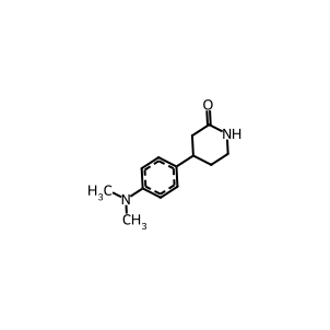 CN(C)c1ccc(C2CCNC(=O)C2)cc1